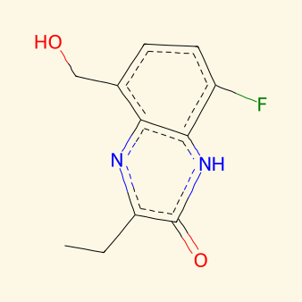 CCc1nc2c(CO)ccc(F)c2[nH]c1=O